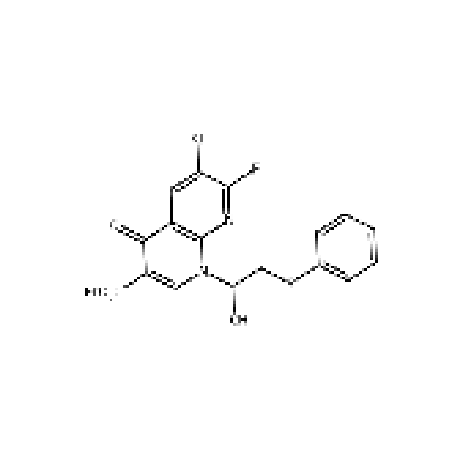 CCOC(=O)c1cn(C(C)CSc2ccccc2)c2nc(F)c(Cl)cc2c1=O